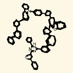 c1ccc(C2=NC(c3cccc(-c4ccccc4)c3)=NC(c3cccc(-c4cccc(-c5cccc(-c6cc(-c7cccc(-c8ccc(-n9c%10ccccc%10c%10cc(-c%11cccc(-c%12cccc(-c%13ccccc%13)c%12)c%11)ccc%109)cc8)c7)cc7c6oc6ccccc67)c5)c4)c3)N2)cc1